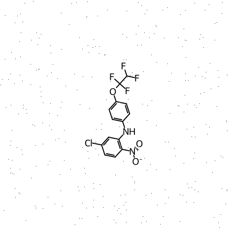 O=[N+]([O-])c1ccc(Cl)cc1Nc1ccc(OC(F)(F)C(F)F)cc1